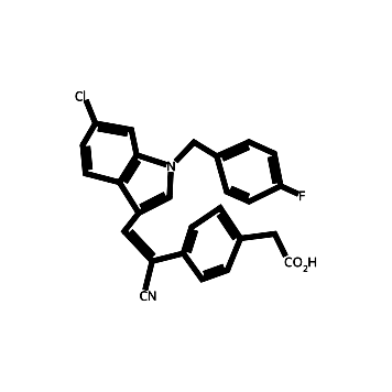 N#CC(=Cc1cn(Cc2ccc(F)cc2)c2cc(Cl)ccc12)c1ccc(CC(=O)O)cc1